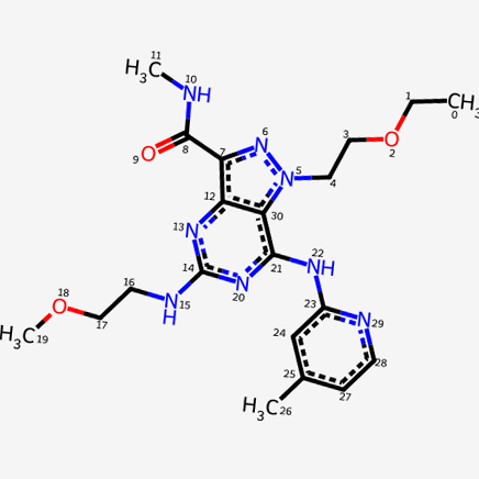 CCOCCn1nc(C(=O)NC)c2nc(NCCOC)nc(Nc3cc(C)ccn3)c21